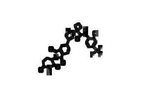 O=C1CCC(N2C(=O)c3ccc(-c4cnn(C5(C(=O)Nc6ccc(C(F)(F)F)cc6Cl)CCC5)c4)cc3C2=O)C(=O)N1